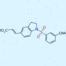 COc1cccc(S(=O)(=O)N2CCc3cc(C=CC(=O)O)ccc32)c1